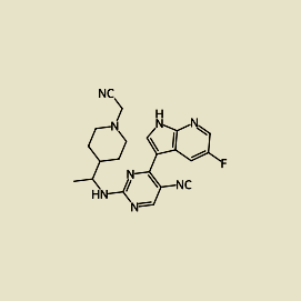 [C-]#[N+]c1cnc(NC(C)C2CCN(CC#N)CC2)nc1-c1c[nH]c2ncc(F)cc12